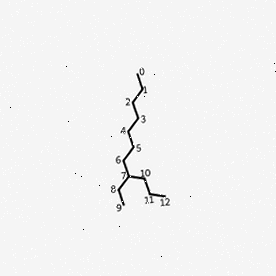 CCCCCCCC(CC)CCC